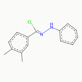 Cc1ccc(C(Cl)=NNc2ccccc2)cc1C